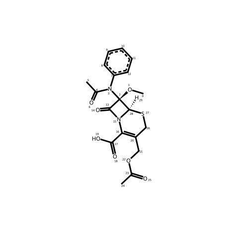 CO[C@]1(N(C(C)=O)c2ccccc2)C(=O)N2C(C(=O)O)=C(COC(C)=O)CS[C@@H]21